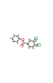 O=C(Oc1cc[c]cc1)c1ccc(Cl)c(Cl)c1